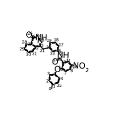 Cc1ccc(Oc2ccc([N+](=O)[O-])cc2C(=O)Nc2cccc(Cc3n[nH]c(=O)c4ccccc34)c2)cc1